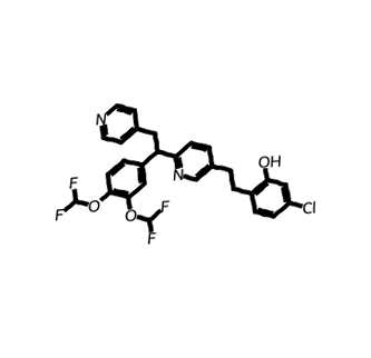 Oc1cc(Cl)ccc1CCc1ccc(C(Cc2ccncc2)c2ccc(OC(F)F)c(OC(F)F)c2)nc1